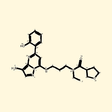 Bc1cnn2c(NCCCN(CI)C(=O)C3CCOC3)cc(-c3ccccc3O)nc12